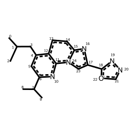 CC(C)Cc1cc(C(C)C)nc2c1ccc1nc(-c3nnco3)cn12